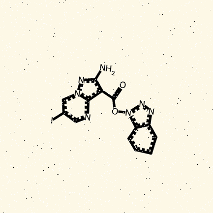 Nc1nn2cc(I)cnc2c1C(=O)On1nnc2ccccc21